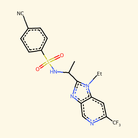 CCn1c(C(C)NS(=O)(=O)c2ccc(C#N)cc2)nc2cnc(C(F)(F)F)cc21